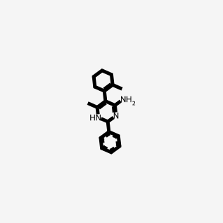 CC1=C(C2=C(C)NC(c3ccccc3)N=C2N)CCCC1